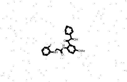 COc1ccc(NC(=O)CNc2ccccc2F)c(C(=O)C(O)c2ccccc2)c1